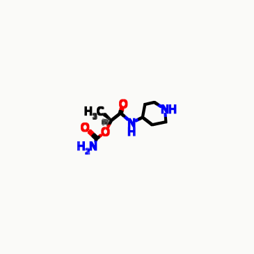 C[C@H](OC(N)=O)C(=O)NC1CCNCC1